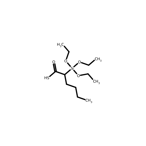 CCCCC(C(=O)S)[Si](OCC)(OCC)OCC